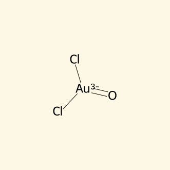 [O]=[Au-3]([Cl])[Cl]